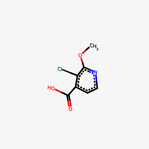 COc1nccc(C(=O)O)c1Cl